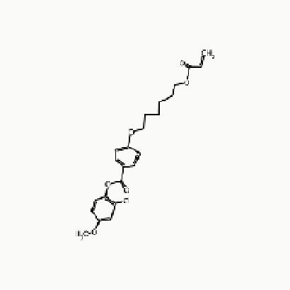 C=CC(=O)OCCCCCCOc1ccc(C(=O)Oc2ccc(OC)cc2Cl)cc1